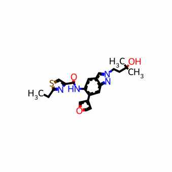 CCc1nc(C(=O)Nc2cc3cn(CCC(C)(C)O)nc3cc2-c2ccoc2)cs1